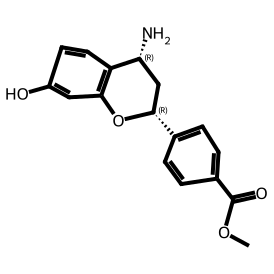 COC(=O)c1ccc([C@H]2C[C@@H](N)c3ccc(O)cc3O2)cc1